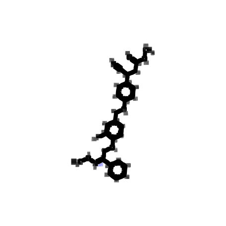 CO/N=C(\COc1ccc(COc2ccc(C(C#N)CC(=O)OC)cc2)cc1F)c1ccccc1